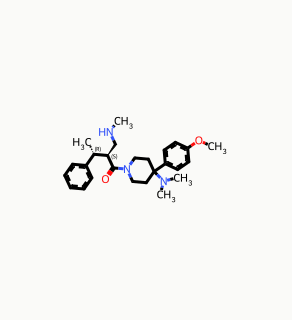 CNC[C@@H](C(=O)N1CCC(c2ccc(OC)cc2)(N(C)C)CC1)[C@@H](C)c1ccccc1